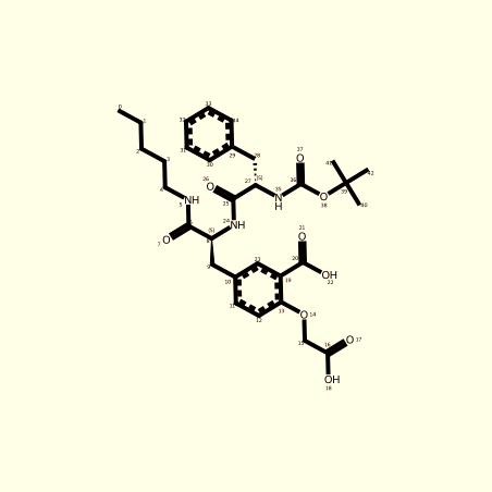 CCCCCNC(=O)[C@H](Cc1ccc(OCC(=O)O)c(C(=O)O)c1)NC(=O)[C@H](Cc1ccccc1)NC(=O)OC(C)(C)C